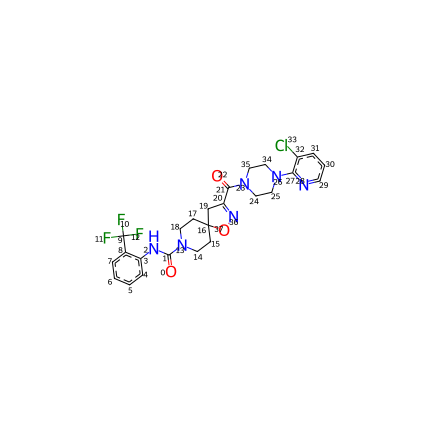 O=C(Nc1ccccc1C(F)(F)F)N1CCC2(CC1)CC(C(=O)N1CCN(c3ncccc3Cl)CC1)=NO2